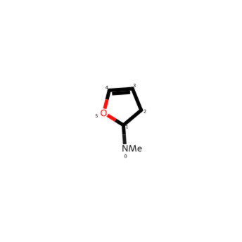 CNC1CC=CO1